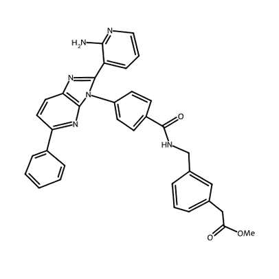 COC(=O)Cc1cccc(CNC(=O)c2ccc(-n3c(-c4cccnc4N)nc4ccc(-c5ccccc5)nc43)cc2)c1